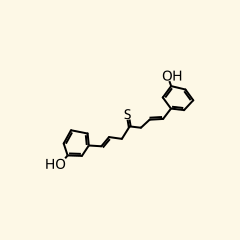 Oc1cccc(C=CCC(=S)CC=Cc2cccc(O)c2)c1